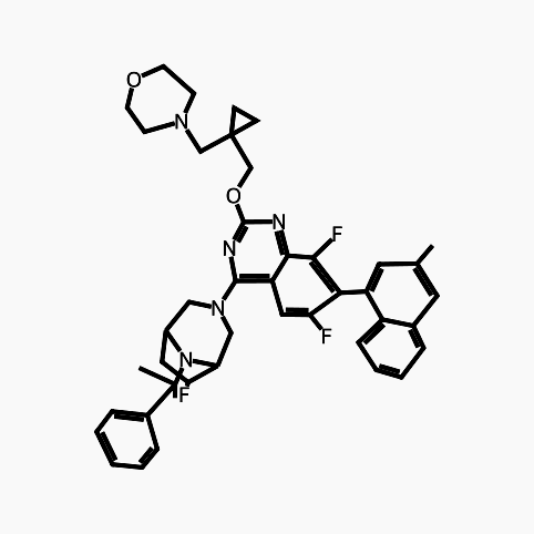 Cc1cc(-c2c(F)cc3c(N4CC5CC(F)C(C4)N5C(C)(C)c4ccccc4)nc(OCC4(CN5CCOCC5)CC4)nc3c2F)c2ccccc2c1